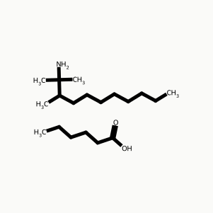 CCCCCC(=O)O.CCCCCCCCC(C)C(C)(C)N